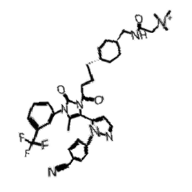 Cc1c(-c2ccnn2-c2ccc(C#N)cc2)n(C(=O)CCC[C@H]2CC[C@H](CNC(=O)C[N+](C)(C)C)CC2)c(=O)n1-c1cccc(C(F)(F)F)c1